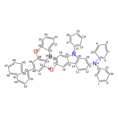 c1ccc(N(c2ccccc2)c2ccc3c4cc5c(cc4n(-c4ccccc4)c3c2)B2c3ccccc3Oc3cc(-c4cccc6ccccc46)cc(c32)O5)cc1